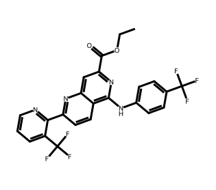 CCOC(=O)c1cc2nc(-c3ncccc3C(F)(F)F)ccc2c(Nc2ccc(C(F)(F)F)cc2)n1